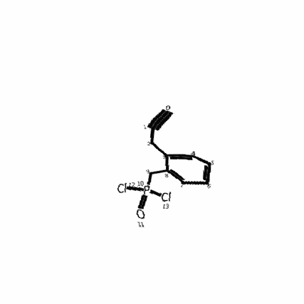 C#CCc1ccccc1CP(=O)(Cl)Cl